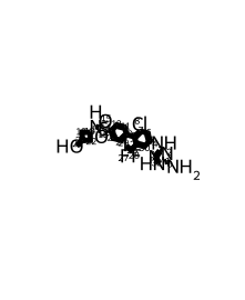 Nc1nc(Nc2cc(Cl)c(-c3ccc(S(=O)(=O)NC4CC(O)C4)cc3)c(C(F)(F)I)c2)n[nH]1